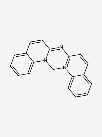 C1=Cc2ccccc2N2C[n+]3c(ccc4ccccc43)N=C12